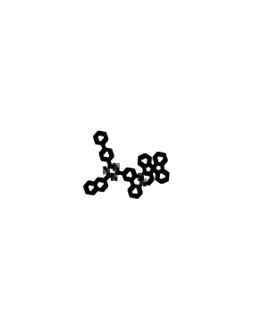 C1=CN2B(C3=C1C1(c4ccccc43)c3ccccc3-c3ccccc31)c1ccc(-c3nc(-c4ccc(-c5ccccc5)cc4)nc(-c4ccc5ccccc5c4)n3)cc1-c1ccccc12